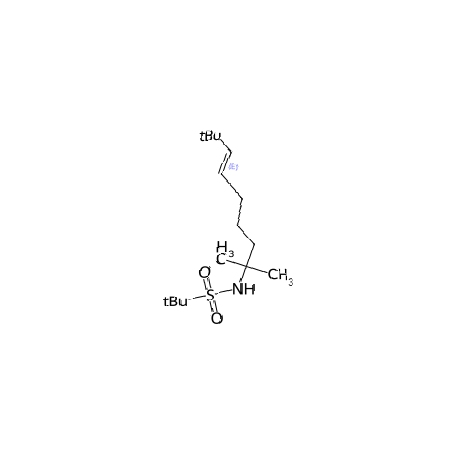 CC(C)(C)/C=C/CCCC(C)(C)NS(=O)(=O)C(C)(C)C